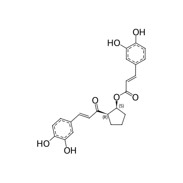 O=C(C=Cc1ccc(O)c(O)c1)O[C@H]1CCC[C@H]1C(=O)C=Cc1ccc(O)c(O)c1